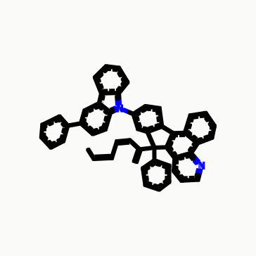 C=C(/C=C\C=C/C)C1(c2ccccc2)c2cc(-n3c4ccccc4c4cc(-c5ccccc5)ccc43)ccc2-c2c1c1cccnc1c1ccccc21